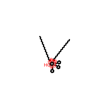 CCCCCCCCCCCCCCCCCCCC(=O)O[C@@H]1[C@H](OCc2ccccc2)[C@@H](OCc2ccccc2)[C@H](OCc2ccccc2)[C@@H](O)[C@@H]1OC(=O)CCCCCCCCCCCCCCCCCCC